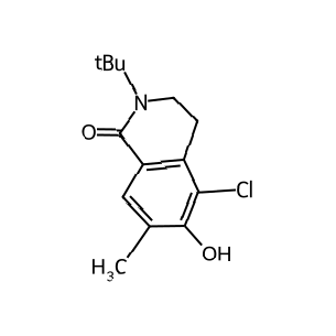 Cc1cc2c(c(Cl)c1O)CCN(C(C)(C)C)C2=O